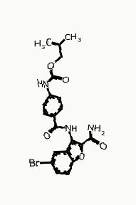 CC(C)COC(=O)Nc1ccc(C(=O)Nc2c(C(N)=O)oc3ccc(Br)cc23)cc1